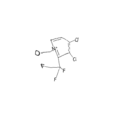 [O-][n+]1ccc(Cl)c(Cl)c1C(F)(F)F